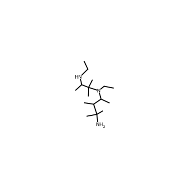 CCNC(C)C(C)(C)N(CC)C(C)C(C)C(C)(C)N